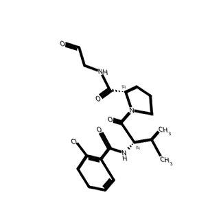 CC(C)[C@H](NC(=O)C1=C(Cl)CCC=C1)C(=O)N1CCC[C@H]1C(=O)NCC=O